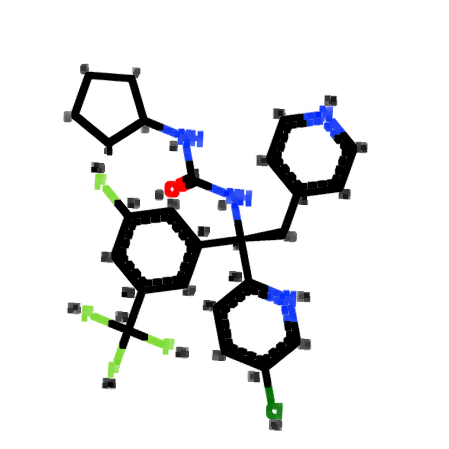 O=C(NC1CCCC1)N[C@@](Cc1ccncc1)(c1cc(F)cc(C(F)(F)F)c1)c1ccc(Cl)cn1